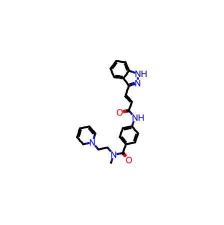 CN(CCN1C=CC=CC1)C(=O)c1ccc(NC(=O)C=Cc2n[nH]c3ccccc23)cc1